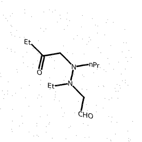 CCCN(CC(=O)CC)N(CC)CC=O